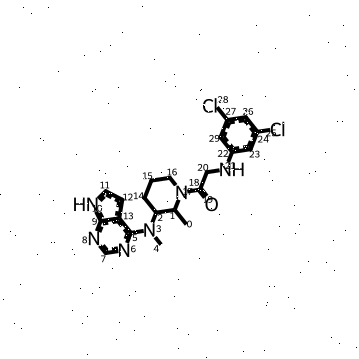 CC1C(N(C)c2ncnc3[nH]ccc23)CCCN1C(=O)CNc1cc(Cl)cc(Cl)c1